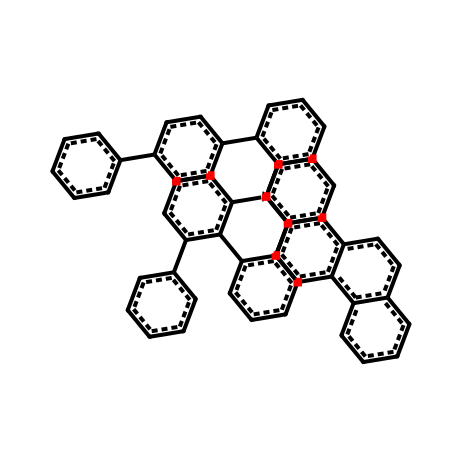 c1ccc(-c2ccc(-c3ccccc3N(c3ccc4c(ccc5ccccc54)c3)c3cccc(-c4ccccc4)c3-c3ccccc3-c3ccccc3)cc2)cc1